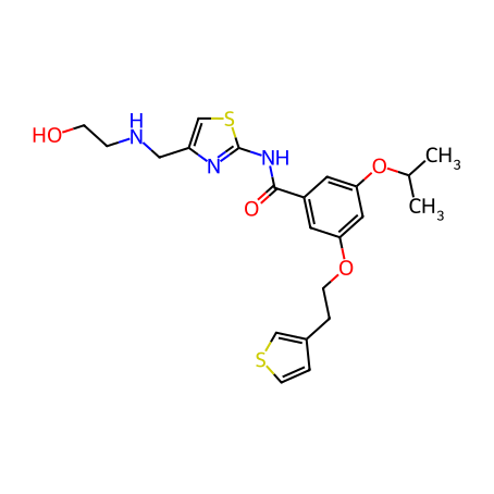 CC(C)Oc1cc(OCCc2ccsc2)cc(C(=O)Nc2nc(CNCCO)cs2)c1